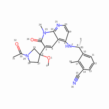 COC1(c2cc3c(N[C@H](C)c4cccc(C#N)c4C)ccnc3n(C)c2=O)CCN(C(C)=O)C1